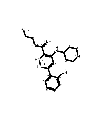 CCCNC(=N)C1=C(NC2CCNCC2)C=C(c2ccccc2O)NN1